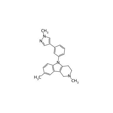 Cc1ccc2c(c1)c1c(n2-c2cccc(-c3cnn(C)c3)c2)CCN(C)C1